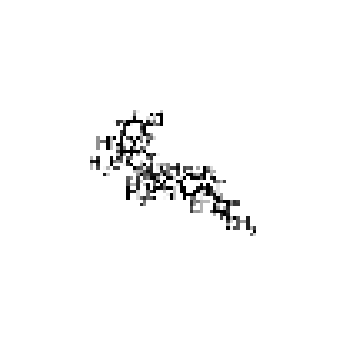 BC(S)(Cc1cc(C(F)(F)F)c2c(c1)ncn2C1CC(C)C1)C(S)(S)N1CCC2(CC1)C(=C)NC1C=CC(Cl)=CC12